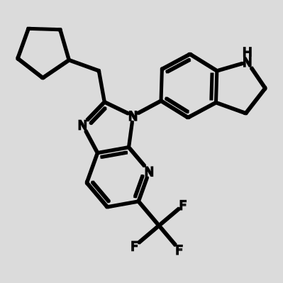 FC(F)(F)c1ccc2nc(CC3CCCC3)n(-c3ccc4c(c3)CCN4)c2n1